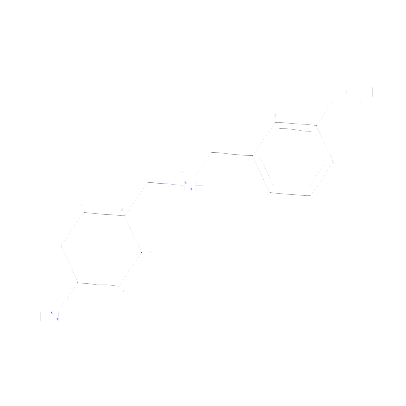 NC1CCC(CNCc2cccc(C(=O)O)c2)CC1